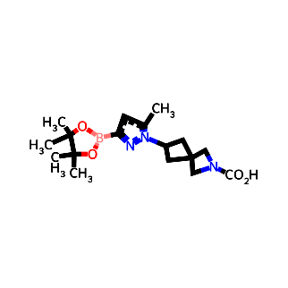 Cc1cc(B2OC(C)(C)C(C)(C)O2)nn1C1CC2(C1)CN(C(=O)O)C2